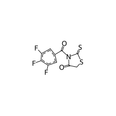 O=C1CSC(=S)N1C(=O)c1cc(F)c(F)c(F)c1